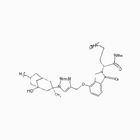 CNC(=O)C(CCC=O)N1Cc2c(OCc3cn(C4(C)CC5CC(C)CC(O)(C5)C4)nn3)cccc2C1=O